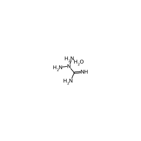 N=C(N)N(N)N.O